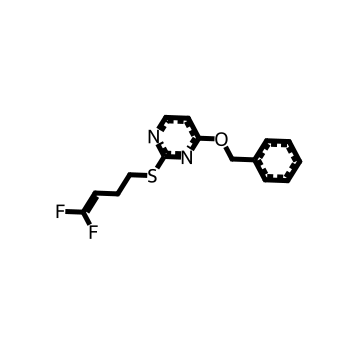 FC(F)=CCCSc1nccc(OCc2ccccc2)n1